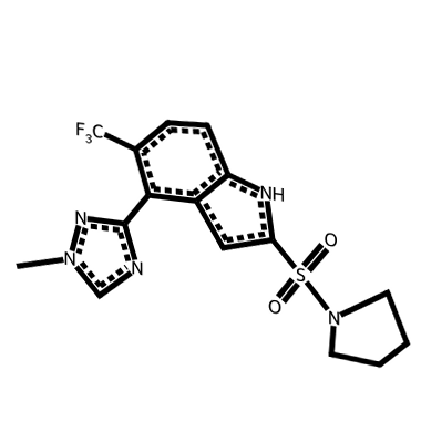 Cn1cnc(-c2c(C(F)(F)F)ccc3[nH]c(S(=O)(=O)N4CCCC4)cc23)n1